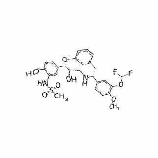 COc1ccc([C@@H](Cc2cccc(Cl)c2)NC[C@@H](O)Cc2ccc(O)c(NS(C)(=O)=O)c2)cc1OC(F)F